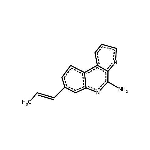 C/C=C/c1ccc2c(c1)nc(N)c1ncccc12